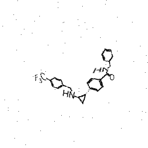 O=C(NCc1ccccc1)c1ccc([C@@H]2C[C@H]2NCc2ccc(C(F)(F)F)cc2)cc1